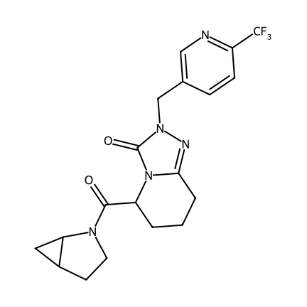 O=C(C1CCCc2nn(Cc3ccc(C(F)(F)F)nc3)c(=O)n21)N1CCC2CC21